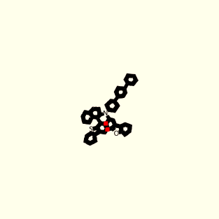 c1ccc(-c2ccc(-c3ccc(N(c4ccc5oc6ccccc6c5c4)c4ccc5ccccc5c4-c4cccc5c4sc4ccccc45)cc3)cc2)cc1